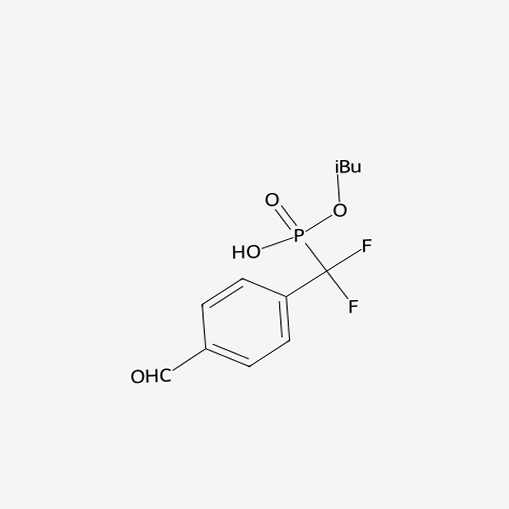 CCC(C)OP(=O)(O)C(F)(F)c1ccc(C=O)cc1